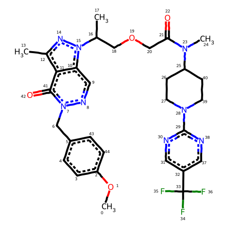 COc1ccc(Cn2ncc3c(c(C)nn3C(C)COCC(=O)N(C)C3CCN(c4ncc(C(F)(F)F)cn4)CC3)c2=O)cc1